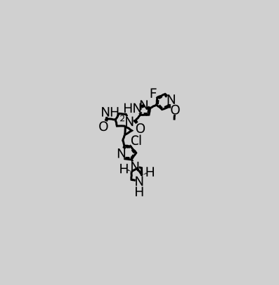 COc1cc(-c2cc(C(=O)N3CCC(C(N)=O)CC34CC4Cc3ncc(N4C[C@@H]5C[C@H]4CN5)cc3Cl)[nH]n2)c(F)cn1